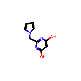 Oc1cc(O)nc(Cn2cccc2)n1